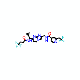 O=C(CCC(F)(F)F)NC(c1ccn2cc(CNC(=O)c3ccnc(CC(F)(F)F)c3)nc2n1)C1CC1